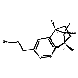 CC(C)CCc1cc2c(nn1)[C@@]1(C)CC[C@@H]2C1(C)C